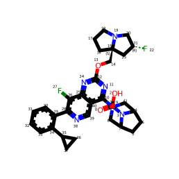 O=C(O)N1C2CCC1CN(c1nc(OC[C@@]34CCCN3C[C@H](F)C4)nc3c(F)c(-c4ccccc4C4CC4)ncc13)C2